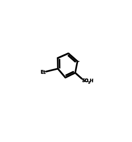 CCc1cc[c]c(S(=O)(=O)O)c1